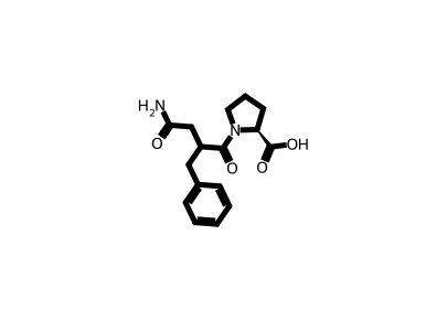 NC(=O)CC(Cc1ccccc1)C(=O)N1CCC[C@H]1C(=O)O